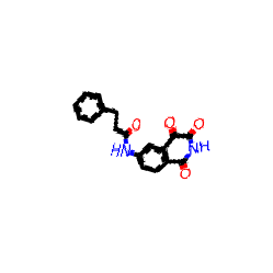 O=C(CCc1ccccc1)Nc1ccc2c(c1)C(=O)C(=O)NC2=O